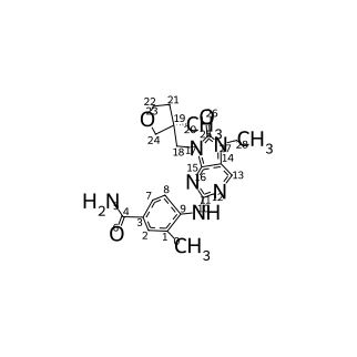 Cc1cc(C(N)=O)ccc1Nc1ncc2c(n1)n(C[C@]1(C)CCOC1)c(=O)n2C